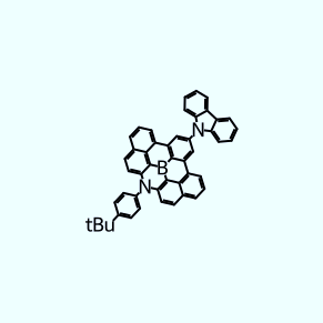 CC(C)(C)c1ccc(N2c3ccc4cccc5c4c3B3c4c-5cc(-n5c6ccccc6c6ccccc65)cc4-c4cccc5ccc2c3c45)cc1